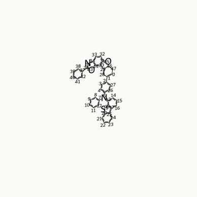 C1=C(c2ccc(N(c3ccccc3)c3cccc4c3sc3ccccc34)cc2)C=C2c3c(ccc4nc(-c5ccccc5)oc34)OC2C1